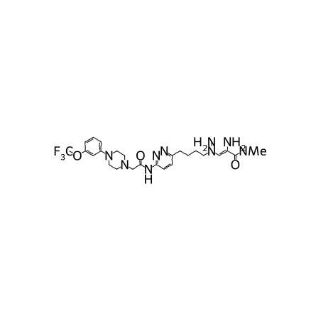 CNC(=O)/C(N)=C/N(N)CCCCc1ccc(NC(=O)CN2CCN(c3cccc(OC(F)(F)F)c3)CC2)nn1